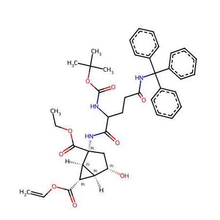 C=COC(=O)[C@H]1[C@H]2[C@@H]1[C@@](NC(=O)C(CCC(=O)NC(c1ccccc1)(c1ccccc1)c1ccccc1)NC(=O)OC(C)(C)C)(C(=O)OCC)C[C@@H]2O